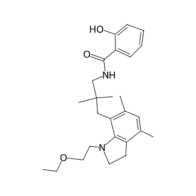 CCOCCN1CCc2c(C)cc(C)c(CC(C)(C)CNC(=O)c3ccccc3O)c21